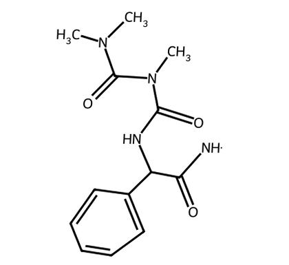 CN(C)C(=O)N(C)C(=O)NC(C([NH])=O)c1ccccc1